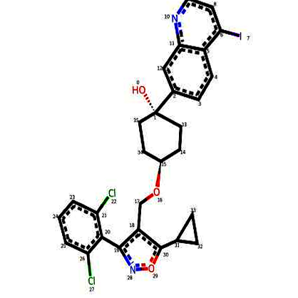 O[C@]1(c2ccc3c(I)ccnc3c2)CC[C@@H](OCc2c(-c3c(Cl)cccc3Cl)noc2C2CC2)CC1